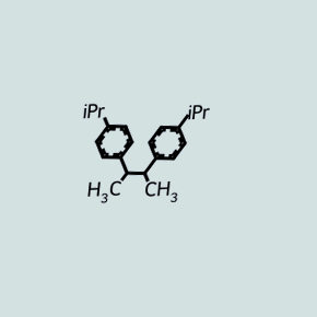 CC(C)c1ccc(C(C)C(C)c2ccc(C(C)C)cc2)cc1